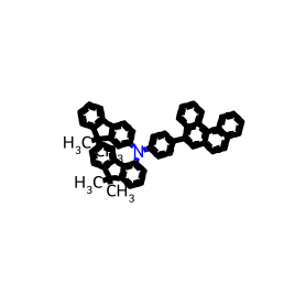 CC1(C)c2ccccc2-c2ccc(N(c3ccc(-c4cc5ccc6ccccc6c5c5ccccc45)cc3)c3cccc4c3-c3ccccc3C4(C)C)cc21